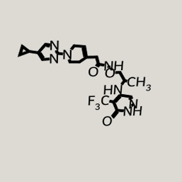 CC(CONC(=O)CC1=CCN(c2ncc(C3CC3)cn2)CC1)NC1=C(C(F)(F)F)C(=C=O)NN=C1